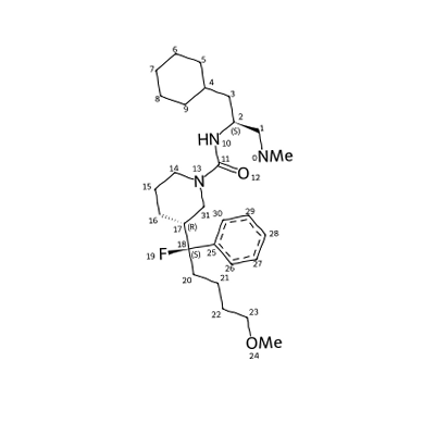 CNC[C@H](CC1CCCCC1)NC(=O)N1CCC[C@@H]([C@@](F)(CCCCOC)c2ccccc2)C1